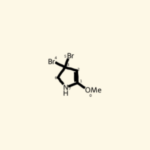 COC1=CC(Br)(Br)CN1